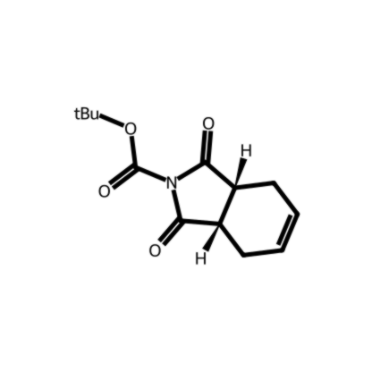 CC(C)(C)OC(=O)N1C(=O)[C@H]2CC=CC[C@H]2C1=O